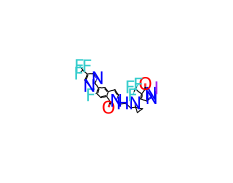 O=c1c2cc(F)c(-c3ncc(C(F)(F)F)cn3)cc2ccn1CCCC1(Nc2cnn(I)c(=O)c2C(F)(F)F)CC1